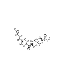 CCC(=O)N1CCC2(CC1)CCN(C(=O)C1CCN(CCCOC)CC1)CC2